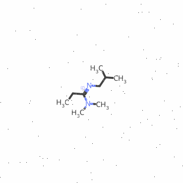 CC/C(=N/CC(C)C)N(C)C